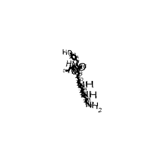 CCCC(=O)N[C@@H](Cc1ccc(O)cc1)C(=O)NCCCCNCCCNCCCN